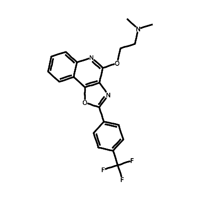 CN(C)CCOc1nc2ccccc2c2oc(-c3ccc(C(F)(F)F)cc3)nc12